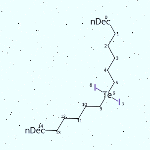 CCCCCCCCCCCCCCC[Te](I)(I)CCCCCCCCCCCCCCC